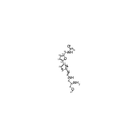 COCC(N)CNC=Nc1nc(-c2ccc(CNC(C)=O)o2)cs1